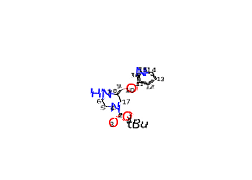 CC(C)(C)OC(=O)N1CCNC(COc2cccnc2)C1